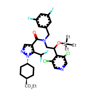 CCOC(=O)[C@H]1CC[C@H](n2ncc(C(=O)N(Cc3cc(F)cc(F)c3)CC(O[Si](CC)(CC)CC)c3c(Cl)cncc3Cl)c2C(F)F)CC1